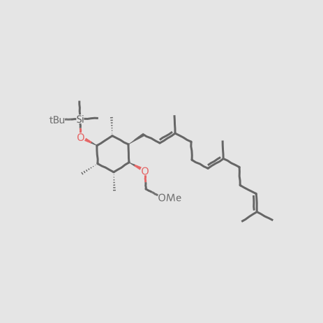 COCO[C@H]1[C@H](C)[C@H](C)[C@@H](O[Si](C)(C)C(C)(C)C)[C@H](C)[C@H]1C/C=C(\C)CC/C=C(\C)CCC=C(C)C